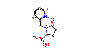 O=C(O)C1CCC(=O)N1Cc1ccccn1